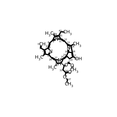 C=CC1=C(C)C2=NC1=CC1=NC(=CC3=C(C)C4=C(O)[C@H](C(=O)OC)C(=C5NC(=C2)[C@@H](C)[C@@H]5CCC(=O)OCC)C4=N3)C(CC)=C1C